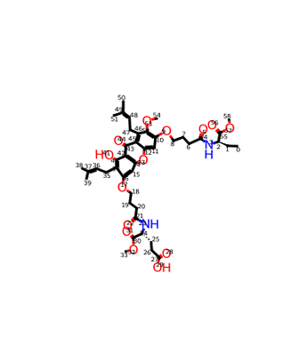 CC[C@@H](NC(=O)CCCOc1cc2oc3cc(OCCCC(=O)N[C@H](CCC(=O)O)C(=O)OC)c(CC=C(C)C)c(O)c3c(=O)c2c(CC=C(C)C)c1OC)C(=O)OC